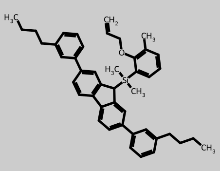 C=CCOc1c(C)cccc1[Si](C)(C)C1c2cc(-c3cccc(CCCC)c3)ccc2-c2ccc(-c3cccc(CCCC)c3)cc21